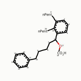 CCCCCc1cccc(C(CCCCc2ccccc2)OC(=O)O)c1CCCCC